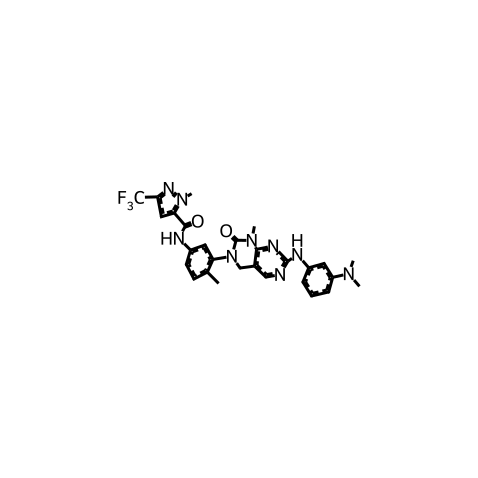 Cc1ccc(NC(=O)c2cc(C(F)(F)F)nn2C)cc1N1Cc2cnc(Nc3cccc(N(C)C)c3)nc2N(C)C1=O